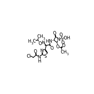 CC(=O)O[C@H]1[C@H](NC(=O)/C(=N/OC(C)C)c2csc(NC(=O)CCl)n2)C(=O)N1S(=O)(=O)O